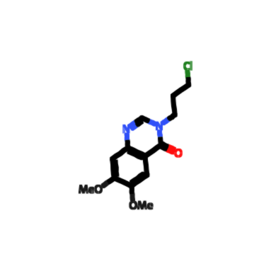 COc1cc2ncn(CCCCl)c(=O)c2cc1OC